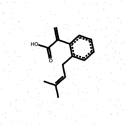 C=C(C(=O)O)c1ccccc1CC=C(C)C